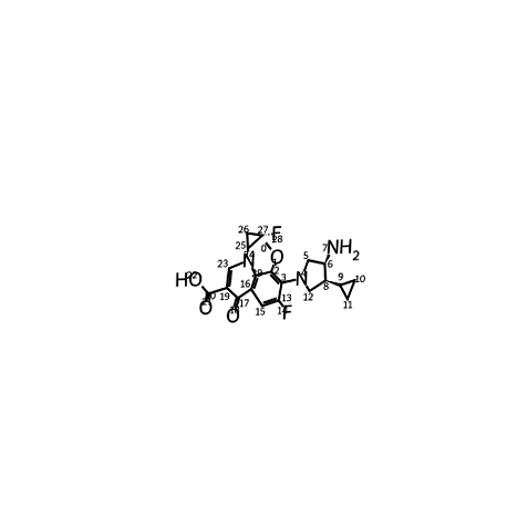 COc1c(N2C[C@@H](N)[C@@H](C3CC3)C2)c(F)cc2c(=O)c(C(=O)O)cn([C@@H]3C[C@@H]3F)c12